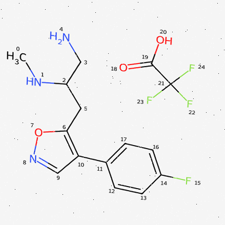 CNC(CN)Cc1oncc1-c1ccc(F)cc1.O=C(O)C(F)(F)F